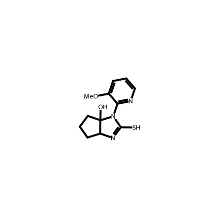 COc1cccnc1N1C(S)=NC2CCCC21O